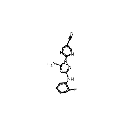 N#Cc1cnc(-n2nc(Nc3ccccc3F)nc2N)nc1